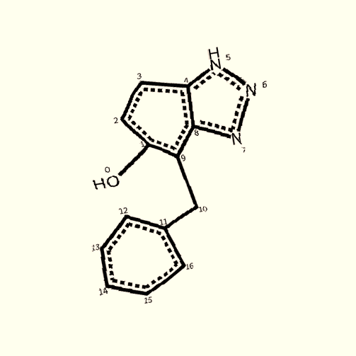 Oc1ccc2[nH]nnc2c1Cc1ccccc1